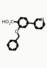 O=C(O)c1ccc(-c2cccnc2)cc1OCc1ccccc1